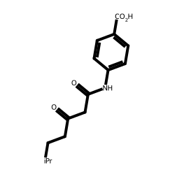 CC(C)CCC(=O)CC(=O)Nc1ccc(C(=O)O)cc1